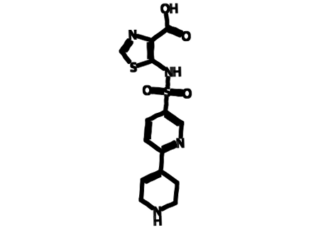 O=C(O)c1ncsc1NS(=O)(=O)c1ccc(C2=CCNCC2)nc1